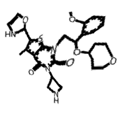 COc1ccccc1C(Cn1c(=O)n(C2CNC2)c(=O)c2c(C)c(C3NC=CO3)sc21)OC1CCOCC1